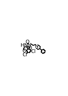 O=C1NC2(CCOc3c(Cl)cc(Cl)cc32)C(=O)N1CCCN1CCC(c2ccccc2)CC1